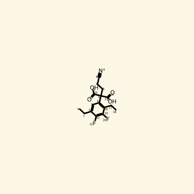 CCc1cc(C(CCC#N)(C(=O)O)C(=O)O)c(CC)c(F)c1F